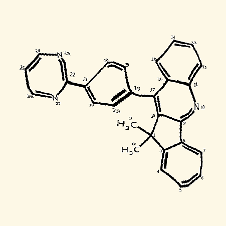 CC1(C)c2ccccc2-c2nc3ccccc3c(-c3ccc(-c4ncccn4)cc3)c21